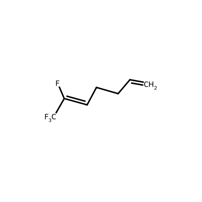 C=CCCC=C(F)C(F)(F)F